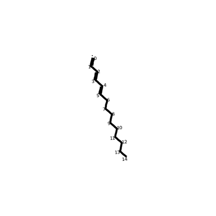 [CH]=C/C=C/C=C/CCCCCCCCC